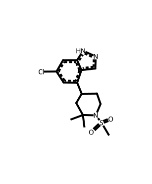 CC1(C)CC(c2cc(Cl)cc3[nH]ncc23)CCN1S(C)(=O)=O